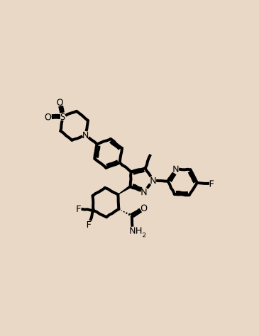 Cc1c(-c2ccc(N3CCS(=O)(=O)CC3)cc2)c([C@@H]2CCC(F)(F)C[C@H]2C(N)=O)nn1-c1ccc(F)cn1